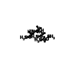 C[SiH](C)O[SiH3].C[SiH](C)O[SiH3].C[SiH](C)O[SiH3].C[Si](C)([SiH3])O[SiH3]